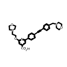 O=C(O)c1cc(OCCN2CCOCC2)nc(-c2ccc(C#Cc3ccc(CN4CCOCC4)cc3)cc2)c1